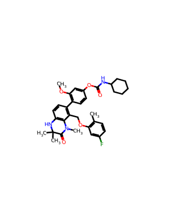 COc1cc(OC(=O)NC2CCCCC2)ccc1-c1ccc2c(c1COc1cc(F)ccc1C)N(C)C(=O)C(C)(C)N2